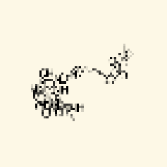 COc1cc(N2CCC(N3CCN(CCCC#Cc4cccc5c4CN(C4CCC(=O)NC4=O)C5=O)CC3)CC2)c(NC(=O)C=Cc2c[nH]cn2)cc1Nc1ncc(Cl)c(Nc2ccccc2P(C)(C)=O)n1